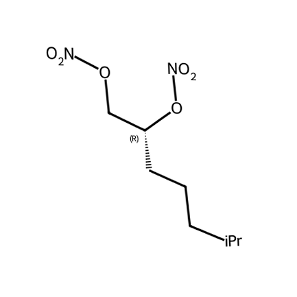 CC(C)CCC[C@H](CO[N+](=O)[O-])O[N+](=O)[O-]